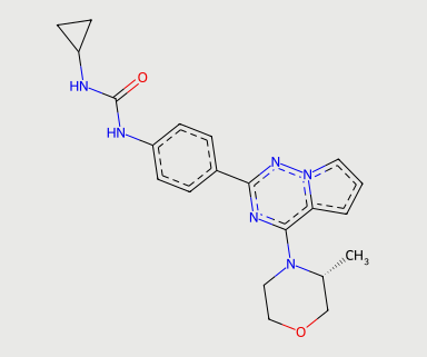 C[C@@H]1COCCN1c1nc(-c2ccc(NC(=O)NC3CC3)cc2)nn2cccc12